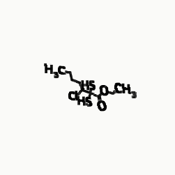 CCCCC(Cl)C(S)(S)C(=O)OCC